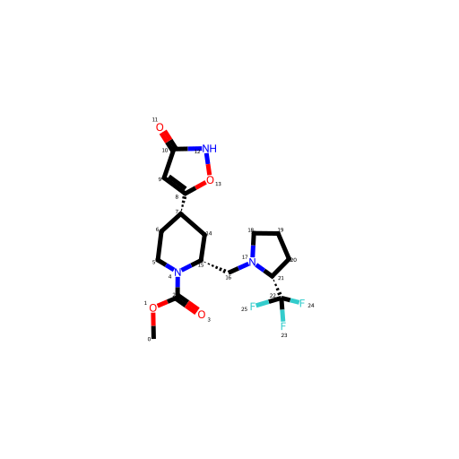 COC(=O)N1CC[C@H](c2cc(=O)[nH]o2)C[C@@H]1CN1CCC[C@@H]1C(F)(F)F